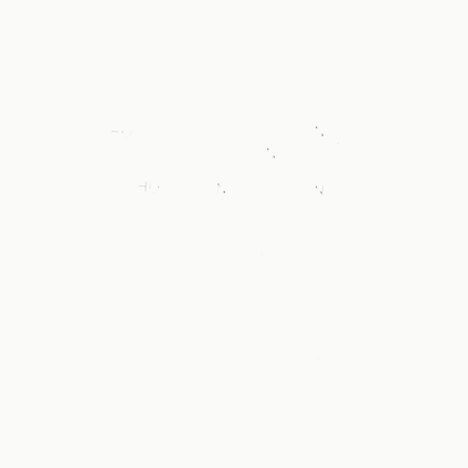 Nc1ncc(Oc2ccc(Cl)cc2)c(NCC(O)CO)n1